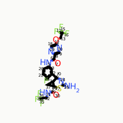 C[C@]1(c2cc(NC(=O)c3cnc(OCC(F)(F)F)cn3)ccc2F)N=C(N)S[C@@]2(C(=O)NCC(F)(F)F)CC21